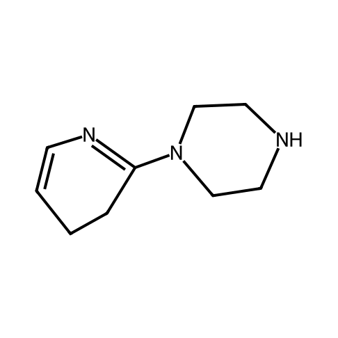 C1=CN=C(N2CCNCC2)CC1